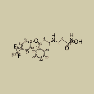 O=C(CCNCC[C@@H](Oc1ccc(C(F)(F)F)cc1)c1ccccc1)NO